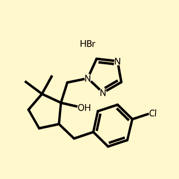 Br.CC1(C)CCC(Cc2ccc(Cl)cc2)C1(O)Cn1cncn1